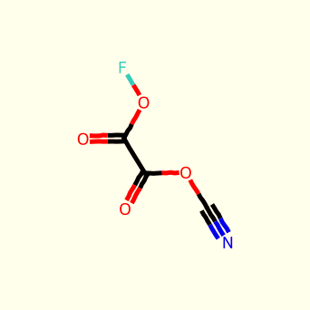 N#COC(=O)C(=O)OF